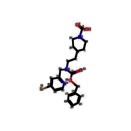 O=C(O)N1CCC(CCN(Cc2cc(Br)ccn2)C(=O)OCc2ccccc2)CC1